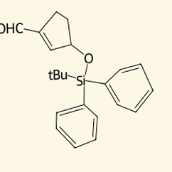 CC(C)(C)[Si](OC1C=C(C=O)CC1)(c1ccccc1)c1ccccc1